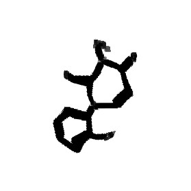 N#Cc1ccccc1-n1ccc(=O)n(N)c1=O